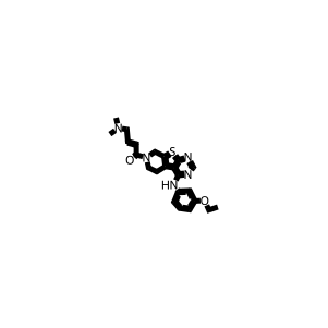 CCOc1cccc(Nc2ncnc3sc4c(c23)CCN(C(=O)/C=C/CN(C)C)C4)c1